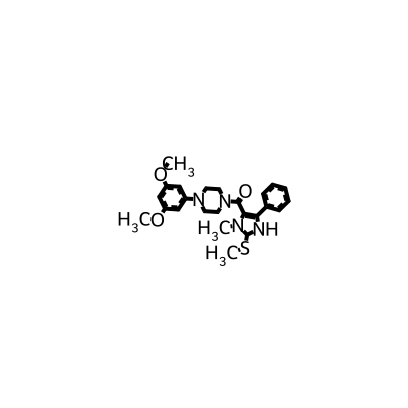 COc1cc(OC)cc(N2CCN(C(=O)C3=C(c4ccccc4)NC(SC)N3C)CC2)c1